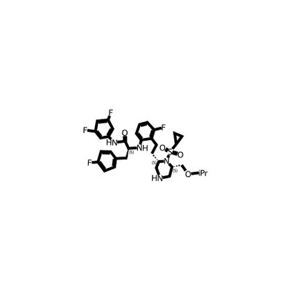 CC(C)OC[C@@H]1CNC[C@H](CCc2c(F)cccc2N[C@@H](Cc2ccc(F)cc2)C(=O)Nc2cc(F)cc(F)c2)N1S(=O)(=O)C1CC1